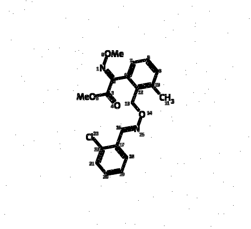 CO/N=C(/C(=O)OC)c1cccc(C)c1CO/N=C/c1ccccc1Cl